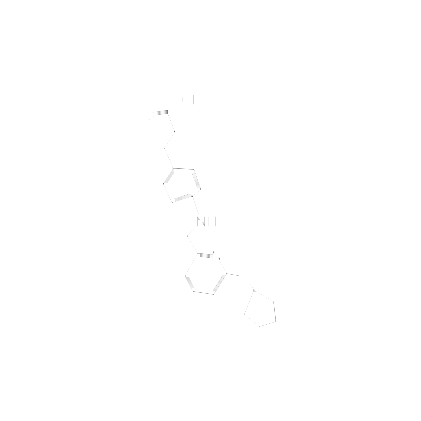 O=C(O)CCc1ccc(NCc2cccc(SC3CCCC3)n2)cc1